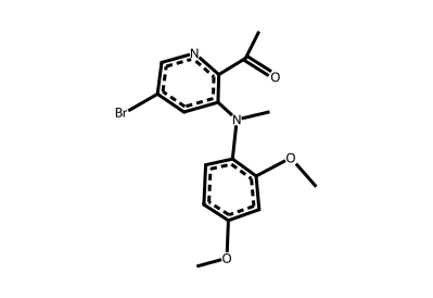 COc1ccc(N(C)c2cc(Br)cnc2C(C)=O)c(OC)c1